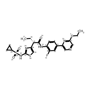 CCOc1cncc(-c2ccc(NC(=O)[C@@H](CC)c3csc(NS(=O)(=O)C4CC4)n3)c(F)c2)n1